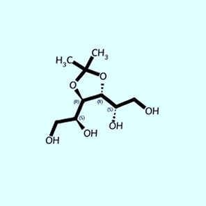 CC1(C)O[C@H]([C@@H](O)CO)[C@@H]([C@@H](O)CO)O1